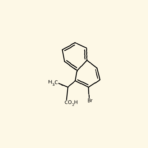 CC(C(=O)O)c1c(Br)ccc2ccccc12